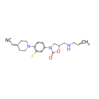 C=CCNCC1CN(c2ccc(N3CCC(=CC#N)CC3)c(F)c2)C(=O)O1